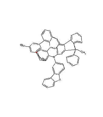 CC(C)(C)c1cc(-c2cccc3cccc(-c4ccccc4N(c4ccc5c(c4)C(C)(c4ccccc4)c4ccccc4-5)c4ccc5oc6ccccc6c5c4)c23)cc(C(C)(C)C)c1